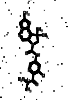 Cc1cn2ncc3c(c2n1)C(C)(C)CN3C(=O)Nc1cnc(C(=O)N(C)C)c(Cl)c1